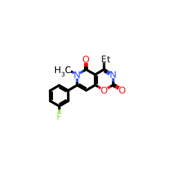 CCc1nc(=O)oc2cc(-c3cccc(F)c3)n(C)c(=O)c12